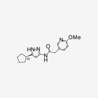 COc1ccc(CC(=O)Nc2cc([C@H]3C[CH]CC3)[nH]n2)cn1